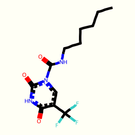 CCCCCCNC(=O)n1cc(C(F)(F)F)c(=O)[nH]c1=O